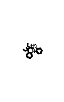 CCC1(C)c2ccccc2N2c3ccccc3N(C)[C@H]2[C@]1(C)CC